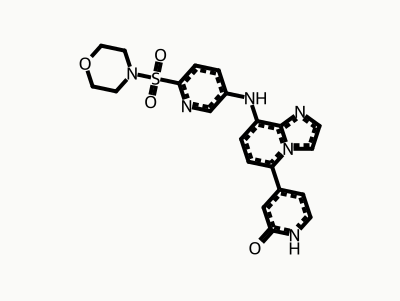 O=c1cc(-c2ccc(Nc3ccc(S(=O)(=O)N4CCOCC4)nc3)c3nccn23)cc[nH]1